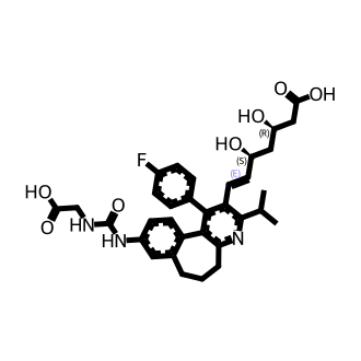 CC(C)c1nc2c(c(-c3ccc(F)cc3)c1/C=C/[C@@H](O)C[C@@H](O)CC(=O)O)-c1ccc(NC(=O)NCC(=O)O)cc1CCC2